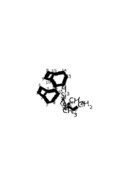 C1=Cc2ccccc21.C1=Cc2ccccc21.C=C[Si](C)(C)O[SiH3]